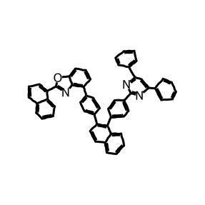 c1ccc(-c2cc(-c3ccccc3)nc(-c3ccc(-c4c(-c5ccc(-c6cccc7oc(-c8cccc9ccccc89)nc67)cc5)ccc5ccccc45)cc3)n2)cc1